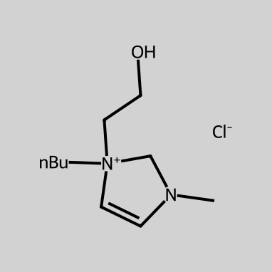 CCCC[N+]1(CCO)C=CN(C)C1.[Cl-]